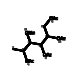 COC(C(C)OC(C)=O)C(OC(C)=O)C(COC(C)=O)OC(C)=O